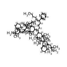 CCCCN(CCCC)C(CCCN(C1CC(C)(C)N(C(N)C(C)(C)CC(CC(C)(C)N)N2CCCCC2)C(C)(C)C1)C1CC(C)(C)N(C(N)C(C)(C)CC(CC(C)(C)N)N2CCCCC2)C(C)(C)C1)c1ncncn1